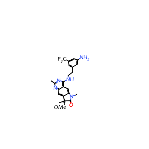 CO[C@]1(C)C(=O)N(C)c2cc3c(NCCc4cc(N)cc(C(F)(F)F)c4)nc(C)nc3cc21